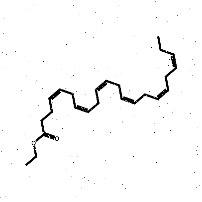 CC/C=C\C/C=C\C/C=C\C/C=C\C/C=C\C/C=C\CCC(=O)OCC